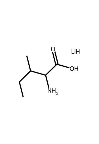 CCC(C)C(N)C(=O)O.[LiH]